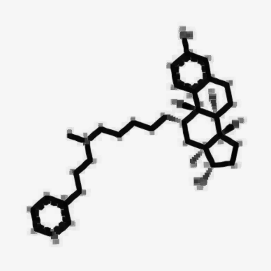 CN(CCCCC[C@H]1C[C@]2(C)[C@@H](O)CC[C@H]2[C@@H]2CCc3cc(O)ccc3[C@@H]12)CCCc1cccnc1